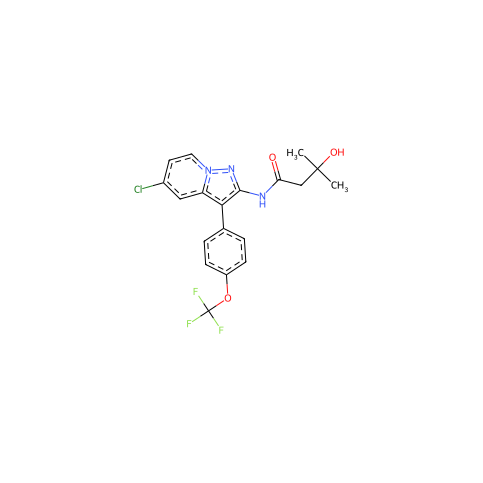 CC(C)(O)CC(=O)Nc1nn2ccc(Cl)cc2c1-c1ccc(OC(F)(F)F)cc1